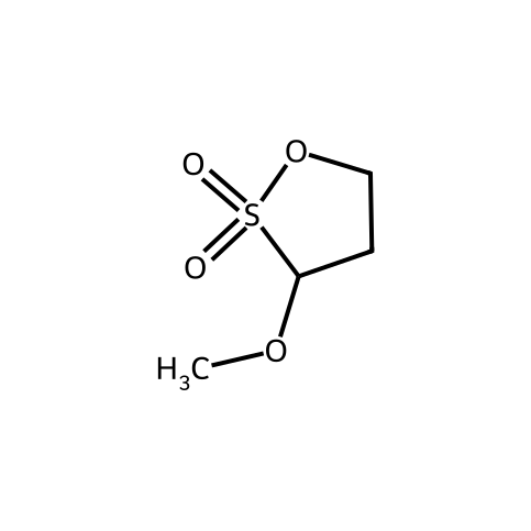 COC1CCOS1(=O)=O